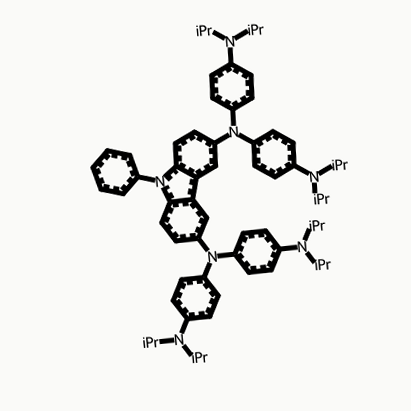 CC(C)N(c1ccc(N(c2ccc(N(C(C)C)C(C)C)cc2)c2ccc3c(c2)c2cc(N(c4ccc(N(C(C)C)C(C)C)cc4)c4ccc(N(C(C)C)C(C)C)cc4)ccc2n3-c2ccccc2)cc1)C(C)C